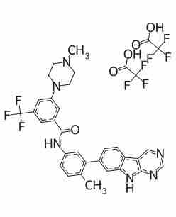 Cc1ccc(NC(=O)c2cc(N3CCN(C)CC3)cc(C(F)(F)F)c2)cc1-c1ccc2c(c1)[nH]c1ncncc12.O=C(O)C(F)(F)F.O=C(O)C(F)(F)F